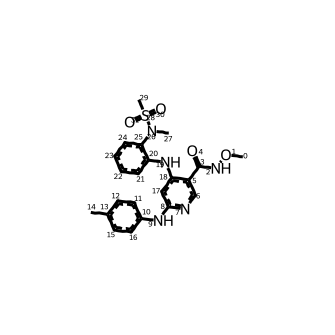 CONC(=O)c1cnc(Nc2ccc(C)cc2)cc1Nc1ccccc1N(C)S(C)(=O)=O